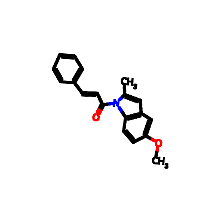 COc1ccc2c(c1)cc(C)n2C(=O)C=Cc1ccccc1